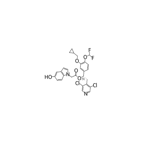 O=C(Cn1ccc2cc(O)ccc21)O[C@@H](Cc1c(Cl)cncc1Cl)c1ccc(OC(F)F)c(OCC2CC2)c1